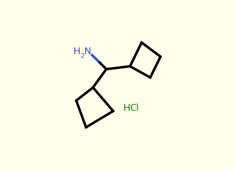 Cl.NC(C1CCC1)C1CCC1